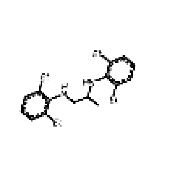 CCc1cccc(CC)c1NCC(C)Nc1c(CC)cccc1CC